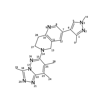 Cc1nn(C)cc1-c1cnc2c(c1)CN(c1nn3c(C)nnc3c(C)c1C)CC2